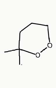 [CH2]C1(C)CCCOO1